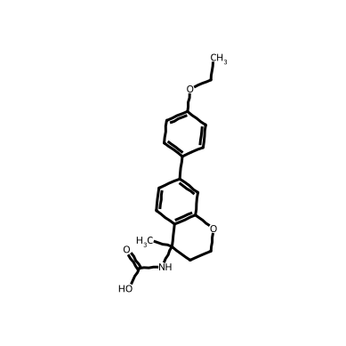 CCOc1ccc(-c2ccc3c(c2)OCCC3(C)NC(=O)O)cc1